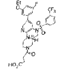 CCOc1cc(F)cc(-c2cnc3c(c2)N(S(=O)(=O)c2cccc(C(F)(F)F)c2)C[C@@H]2CN(C(=O)CCC(=O)O)CCN32)c1